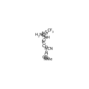 CNS(=O)(=O)C1CCN([C@@H](C)Cn2c(C#N)cc3c(C)c(CN4CCC(Nc5nc(N)nc6sc(CC(F)(F)F)cc56)CC4)ccc32)CC1